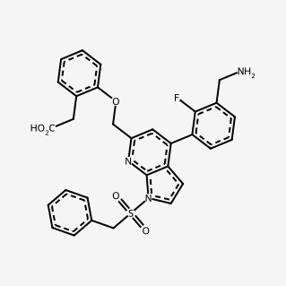 NCc1cccc(-c2cc(COc3ccccc3CC(=O)O)nc3c2ccn3S(=O)(=O)Cc2ccccc2)c1F